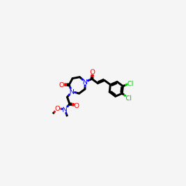 CON(C)C(=O)CN1CCN(C(=O)C=Cc2ccc(Cl)c(Cl)c2)CCC1=O